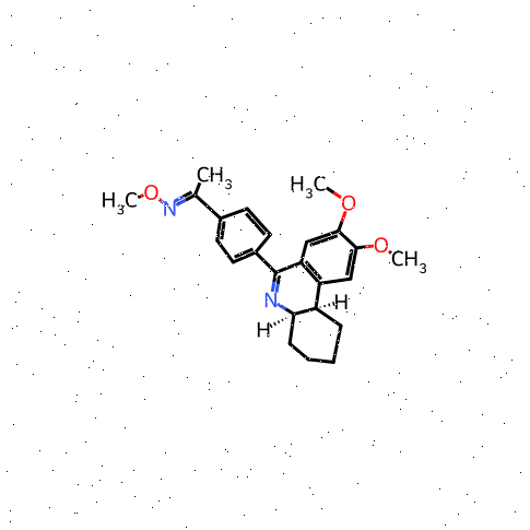 CON=C(C)c1ccc(C2=N[C@@H]3CCCC[C@@H]3c3cc(OC)c(OC)cc32)cc1